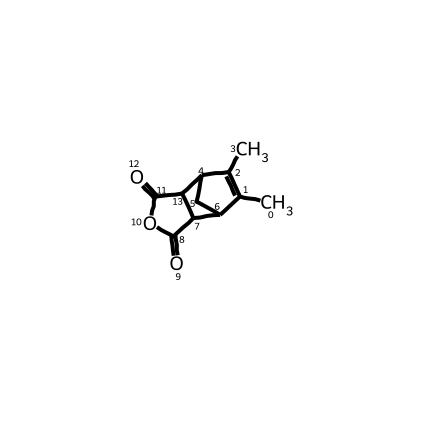 CC1=C(C)C2CC1C1C(=O)OC(=O)C21